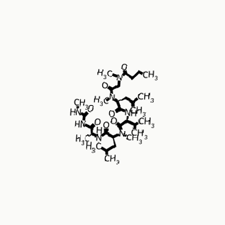 CCCC(=O)N(C)CC(=O)N(C)[C@@H](CC(C)C)C(=O)N[C@H](C(=O)N(C)[C@@H](CC(C)C)C(=O)N[C@H](C)C(=O)NC(=O)NC)C(C)C